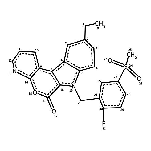 CCc1ccc2c(c1)c1c3cccnc3oc(=O)c1n2Cc1cc(S(C)(=O)=O)ccc1F